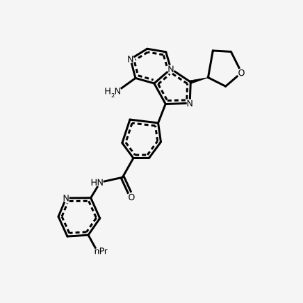 CCCc1ccnc(NC(=O)c2ccc(-c3nc([C@H]4CCOC4)n4ccnc(N)c34)cc2)c1